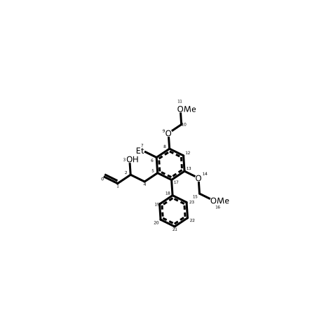 C=CC(O)Cc1c(CC)c(OCOC)cc(OCOC)c1-c1ccccc1